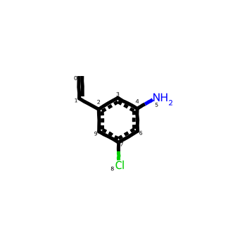 C=Cc1cc(N)cc(Cl)c1